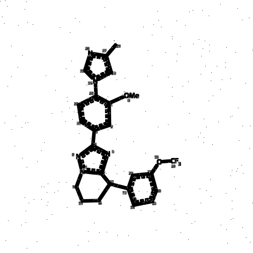 COc1cc(-c2nc3n(n2)CCCC3c2cccc(OC(F)(F)F)c2)ccc1-n1cnc(C)c1